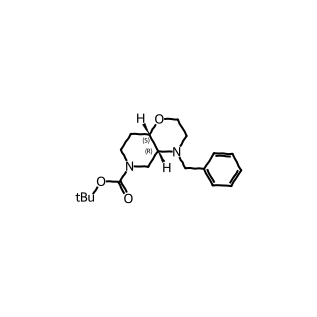 CC(C)(C)OC(=O)N1CC[C@@H]2OCCN(Cc3ccccc3)[C@@H]2C1